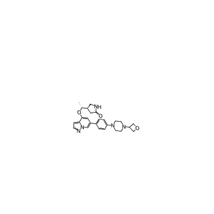 C[C@@H](Oc1cc(-c2ccc(N3CCN(C4COC4)CC3)cc2)cn2nccc12)[C@H]1CNC(=O)C1